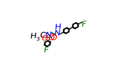 CCN(CC(=O)NCc1ccc(-c2ccc(CF)cc2)cc1)S(=O)(=O)c1ccc(F)cc1